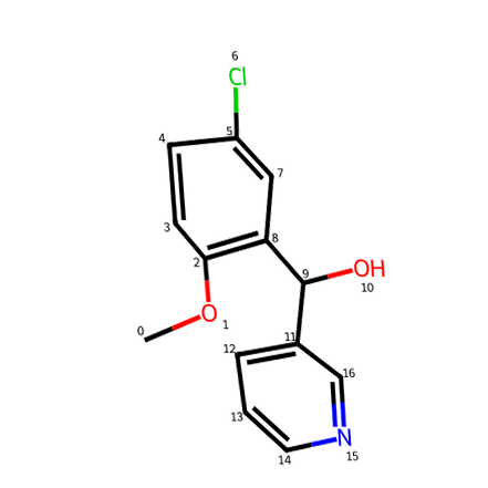 COc1ccc(Cl)cc1C(O)c1cccnc1